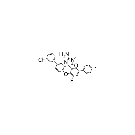 Cc1ccc(-c2cc(F)c3c(c2)[C@@]2(N=C(N)N(C)C2=O)c2cc(-c4cccc(Cl)c4)ccc2O3)cc1